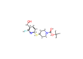 CC(C)(C)OC(=O)N1CCC(Sc2ccc(CO)c(F)n2)CC1